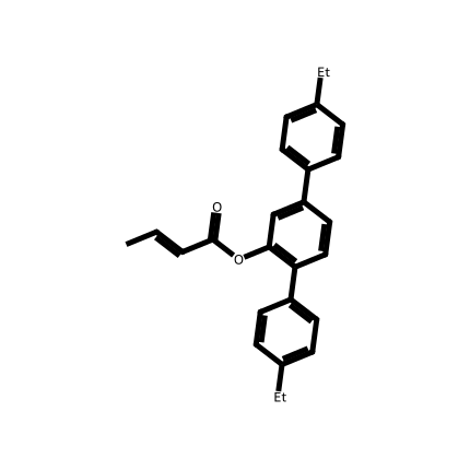 C/C=C/C(=O)Oc1cc(-c2ccc(CC)cc2)ccc1-c1ccc(CC)cc1